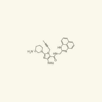 CC#CCn1c(N2CCC[C@@H](N)C2)nc(NC)c1C(=O)NCC1=Nc2cccc3cccc(c23)N1